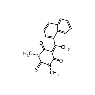 CC(=C1C(=O)N(C)C(=S)N(C)C1=O)c1cccc2ccccc12